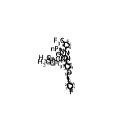 CCCn1c(-c2cccc(C(F)(F)F)c2)nc2nc(-c3ccc(OCC#Cc4ccc(F)cc4)cc3)n(COCC[Si](C)(C)C)c2c1=O